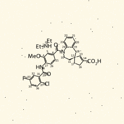 CCNCC.COc1cc(C(=O)N2CC[C@]3(C=C(C(=O)O)CC3)Cc3ccccc32)ccc1NC(=O)c1cc(F)ccc1Cl